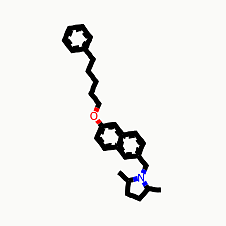 CC1CCC(C)N1Cc1ccc2cc(OCCCCCc3ccccc3)ccc2c1